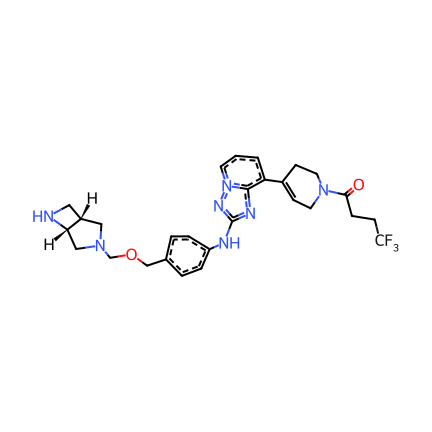 O=C(CCC(F)(F)F)N1CC=C(c2cccn3nc(Nc4ccc(COCN5C[C@H]6CN[C@H]6C5)cc4)nc23)CC1